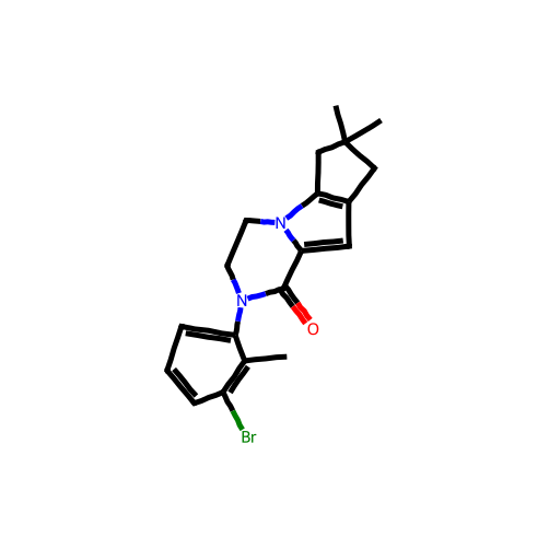 Cc1c(Br)cccc1N1CCn2c(cc3c2CC(C)(C)C3)C1=O